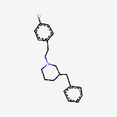 Clc1ccc(CCN2CCCC(Cc3ccccc3)C2)cc1